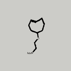 CNCCOC1CC/C=C/CCC1